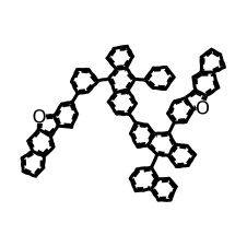 c1ccc(-c2c3ccccc3c(-c3cccc(-c4ccc5c(c4)oc4cc6ccccc6cc45)c3)c3ccc(-c4ccc5c(-c6cccc7ccccc67)c6ccccc6c(-c6ccc7c(c6)oc6cc8ccccc8cc67)c5c4)cc23)cc1